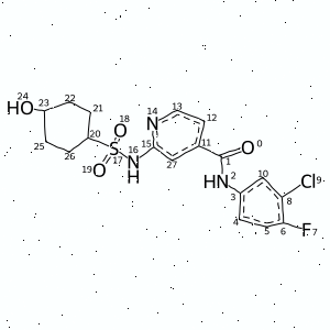 O=C(Nc1ccc(F)c(Cl)c1)c1ccnc(NS(=O)(=O)C2CCC(O)CC2)c1